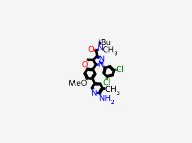 COc1cc2c(cc1-c1cnc(N)c(C)c1)C1C(CO2)C(C(=O)N(C)C(C)(C)C)=NN1c1cc(Cl)cc(Cl)c1